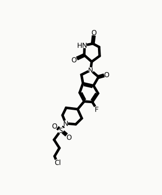 O=C1CCC(N2Cc3cc(C4CCN(S(=O)(=O)CCCCl)CC4)c(F)cc3C2=O)C(=O)N1